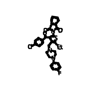 CCc1sc(N2C(=O)c3ccccc3C2=O)c(C(=O)c2ccc(Cl)cc2)c1CN1CCN(c2ccc(F)cc2)CC1